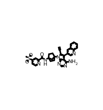 C#Cc1c(-c2cnc3ccccc3c2)c2c(N)ncnc2n1C12CCC(NC(=O)c3cc(S(C)(=O)=O)ccn3)(CC1)C2